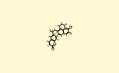 Cc1cc2ccc(CC(C)c3ccc4oc(=O)ccc4c3)c3c2n(c1=O)CCC3